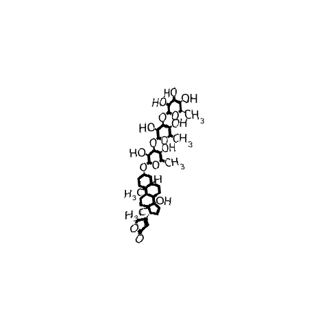 CC1OC(O[C@@H]2[C@H](O)C(O[C@H]3CCC4(C)C5CCC6(C)[C@@H](C7=CC(=O)OC7)CC[C@]6(O)C5CC[C@@H]4C3)OC(C)[C@@H]2O)[C@@H](O)[C@@H](OC2O[C@@H](C)[C@@H](O)C(O)C2O)[C@H]1O